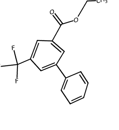 CCOC(=O)c1cc(-c2ccccc2)cc(C(F)(F)F)c1